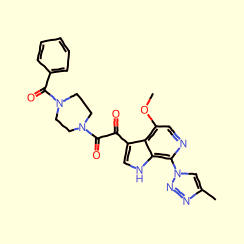 COc1cnc(-n2cc(C)nn2)c2[nH]cc(C(=O)C(=O)N3CCN(C(=O)c4ccccc4)CC3)c12